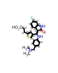 CN(C)Cc1ccc(N/C(=C2\C(=O)Nc3cc(F)ccc32)c2csc(CCC(=O)O)c2)cc1